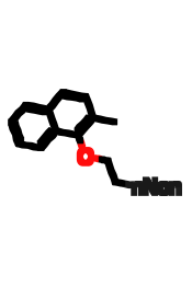 CCCCCCCCCCCOc1c(C)ccc2ccccc12